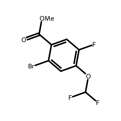 COC(=O)c1cc(F)c(OC(F)F)cc1Br